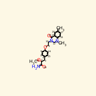 COC(Cc1ccc(OCCN2CN(C)c3ccc(C)cc3C2=O)cc1)C(N)=O